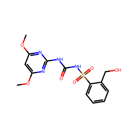 COc1cc(OC)nc(NC(=O)NS(=O)(=O)c2ccccc2CO)n1